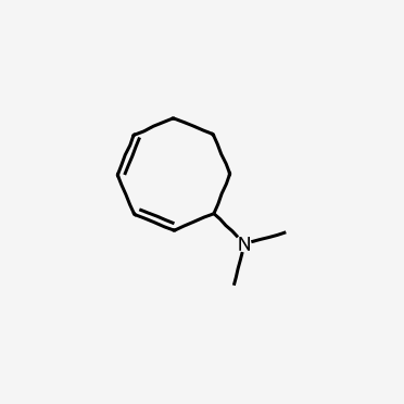 CN(C)C1C=CC=CCCC1